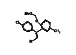 COCOc1ccc(C)cc1C(=CBr)c1ccc(Cl)cc1